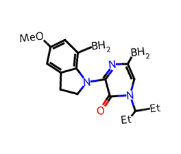 Bc1cn(C(CC)CC)c(=O)c(N2CCc3cc(OC)cc(B)c32)n1